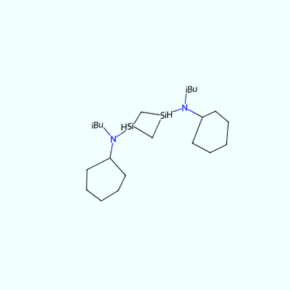 CCC(C)N(C1CCCCC1)[SiH]1C[SiH](N(C(C)CC)C2CCCCC2)C1